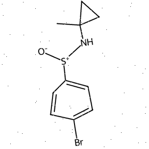 CC1(N[S+]([O-])c2ccc(Br)cc2)CC1